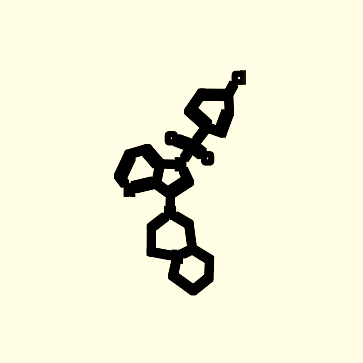 O=S(=O)(c1ccc(Cl)cc1)n1cc(N2CCN3CCCCC3C2)c2ncccc21